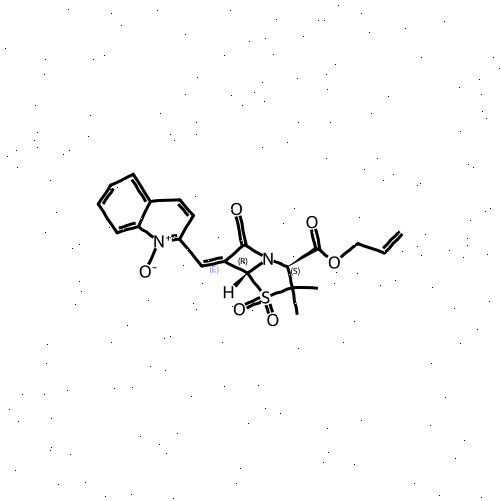 C=CCOC(=O)[C@@H]1N2C(=O)/C(=C\c3ccc4ccccc4[n+]3[O-])[C@H]2S(=O)(=O)C1(C)C